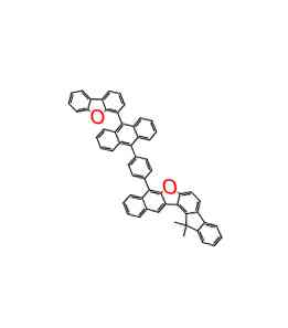 CC1(C)c2ccccc2-c2ccc3oc4c(-c5ccc(-c6c7ccccc7c(-c7cccc8c7oc7ccccc78)c7ccccc67)cc5)c5ccccc5cc4c3c21